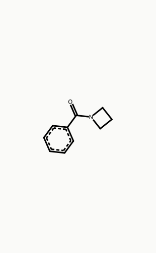 O=C(c1ccccc1)N1CCC1